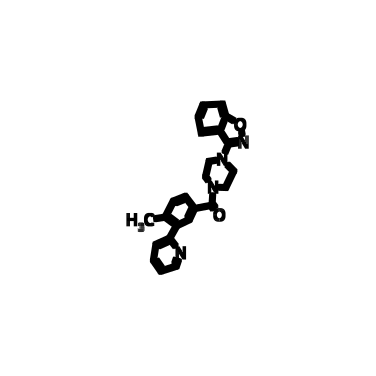 Cc1ccc(C(=O)N2CCN(c3noc4ccccc34)CC2)cc1-c1ccccn1